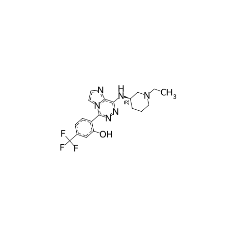 CCN1CCC[C@@H](Nc2nnc(-c3ccc(C(F)(F)F)cc3O)n3ccnc23)C1